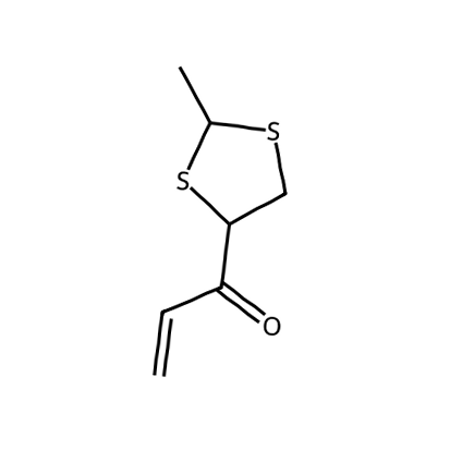 C=CC(=O)C1CSC(C)S1